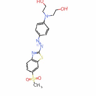 CS(=O)(=O)c1ccc2nc(/N=N/c3ccc(N(CCO)CCO)cc3)sc2c1